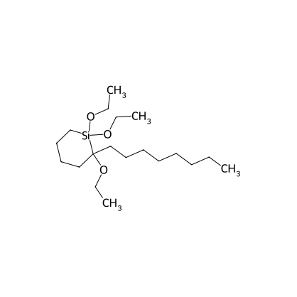 CCCCCCCCC1(OCC)CCCC[Si]1(OCC)OCC